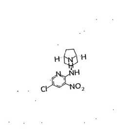 O=[N+]([O-])c1cc(Cl)cnc1N[C@H]1C[C@H]2CC[C@@H](C1)N2